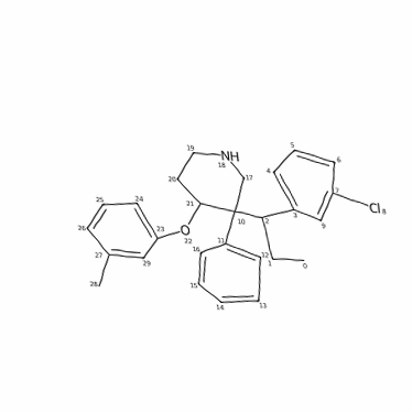 CCC(c1cccc(Cl)c1)C1(c2ccccc2)CNCCC1Oc1cccc(C)c1